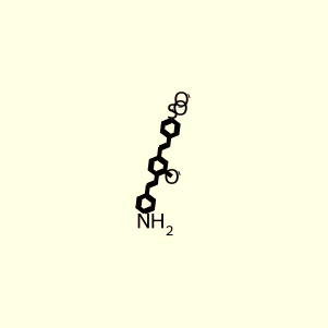 COOSc1ccc(/C=C/c2ccc(/C=C/c3ccc(N)cc3)c(OC)c2)cc1